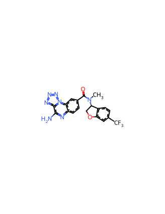 CN(C(=O)c1ccc2nc(N)c3nnnn3c2c1)[C@@H]1COc2cc(C(F)(F)F)ccc21